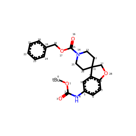 CC(C)(C)OC(=O)Nc1ccc2c(c1)C1(CCN(C(=O)OCc3ccccc3)CC1)CO2